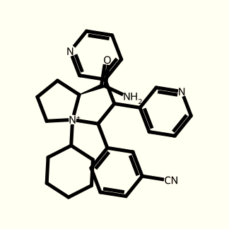 N#Cc1cccc(C(C(c2cccnc2)c2cccnc2)[N+]2(C3CCCCC3)CCC[C@H]2C(N)=O)c1